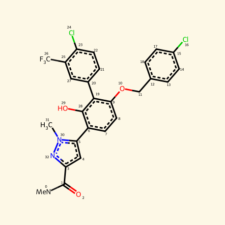 CNC(=O)c1cc(-c2ccc(OCc3ccc(Cl)cc3)c(-c3ccc(Cl)c(C(F)(F)F)c3)c2O)n(C)n1